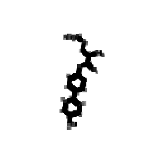 CCCCCCCOCC(C)C(=O)Oc1ccc(-c2ncc(CCCC)cn2)cc1